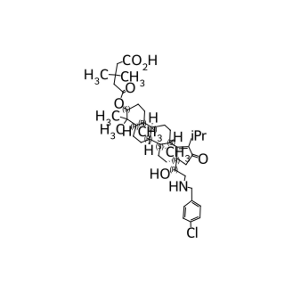 CC(C)C1=C2[C@H]3CC[C@H]4[C@@H](CC[C@H]5C(C)(C)[C@@H](OC(=O)CC(C)(C)CC(=O)O)CC[C@]45C)[C@]3(C)CC[C@@]2([C@@H](O)CNCc2ccc(Cl)cc2)CC1=O